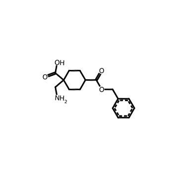 NCC1(C(=O)O)CCC(C(=O)OCc2ccccc2)CC1